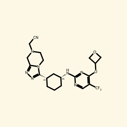 N#CCN1CCn2c(nnc2[C@H]2CCC[C@@H](Nc3ncc(C(F)(F)F)c(OC4COC4)n3)C2)C1